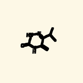 C=C1NC(=O)NN=C1C(C)C